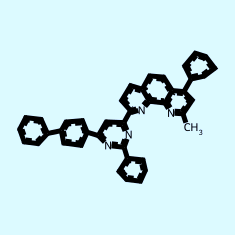 Cc1cc(-c2ccccc2)c2ccc3ccc(-c4cc(-c5ccc(-c6ccccc6)cc5)nc(-c5ccccc5)n4)nc3c2n1